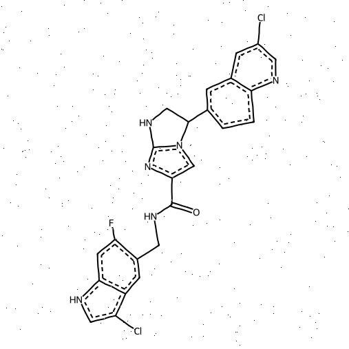 O=C(NCc1cc2c(Cl)c[nH]c2cc1F)c1cn2c(n1)NCC2c1ccc2ncc(Cl)cc2c1